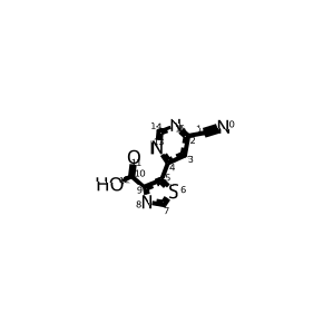 N#Cc1cc(-c2scnc2C(=O)O)ncn1